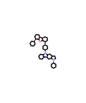 c1ccc(-c2cccc3c2oc2c(-c4ccc(-n5c6ccccc6c6cc7c(ccn7-c7ccccc7)cc65)cc4)cccc23)cc1